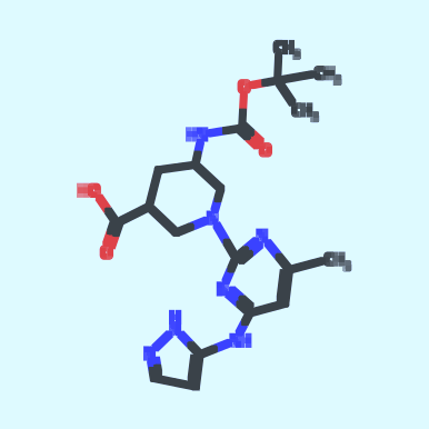 Cc1cc(Nc2ccn[nH]2)nc(N2CC(NC(=O)OC(C)(C)C)CC(C(=O)O)C2)n1